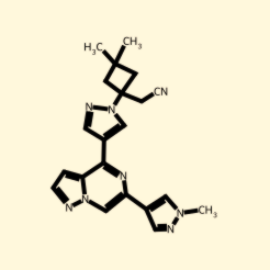 Cn1cc(-c2cn3nccc3c(-c3cnn(C4(CC#N)CC(C)(C)C4)c3)n2)cn1